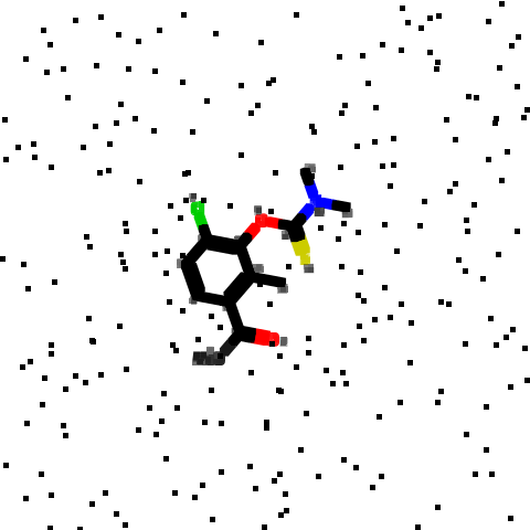 COC(=O)c1ccc(Cl)c(OC(=S)N(C)C)c1C